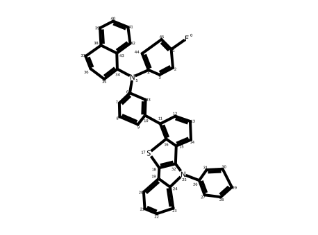 Fc1ccc(N(c2cccc(-c3cccc4c3sc3c5ccccc5n(-c5ccccc5)c43)c2)c2cccc3ccccc23)cc1